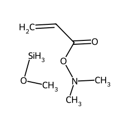 C=CC(=O)ON(C)C.CO[SiH3]